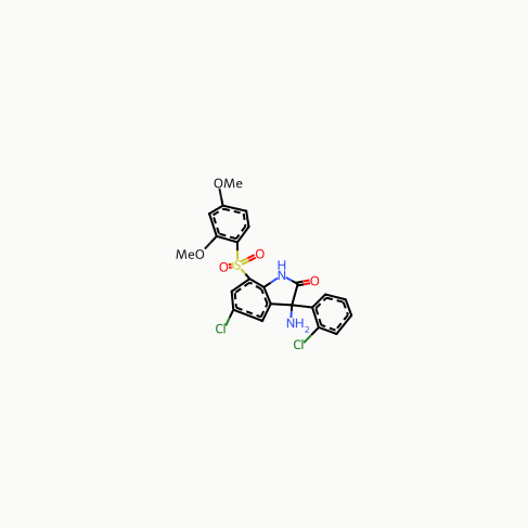 COc1ccc(S(=O)(=O)c2cc(Cl)cc3c2NC(=O)C3(N)c2ccccc2Cl)c(OC)c1